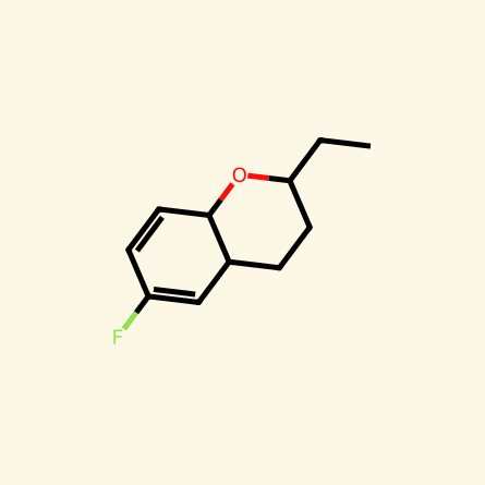 CCC1CCC2C=C(F)C=CC2O1